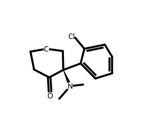 CN(C)[C@]1(c2ccccc2Cl)CCCCC1=O